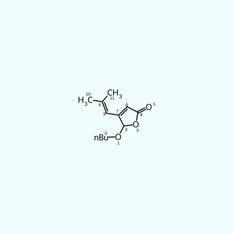 CCCCOC1OC(=O)C=C1C=C(C)C